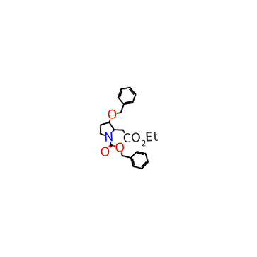 CCOC(=O)CC1C(OCc2ccccc2)CCN1C(=O)OCc1ccccc1